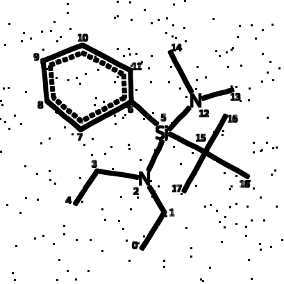 CCN(CC)[Si](c1ccccc1)(N(C)C)C(C)(C)C